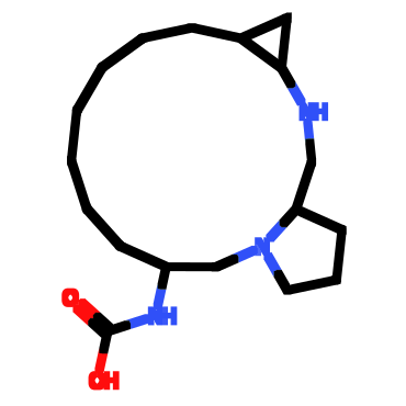 O=C(O)NC1CCCCCCCC2CC2NCC2CCCN2C1